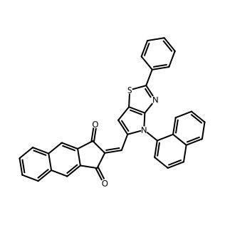 O=C1C(=Cc2cc3sc(-c4ccccc4)nc3n2-c2cccc3ccccc23)C(=O)c2cc3ccccc3cc21